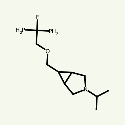 CC(C)N1CC2C(COCC(F)(P)P)C2C1